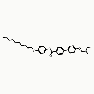 CCCCCCCCC=COc1ccc(OC(=O)c2ccc(-c3ccc(OCC(C)CC)cc3)cc2)cc1